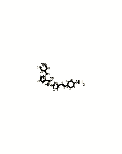 NC1CCC(/C=C/c2csc(NC(=O)c3cccn3Cc3ccncc3)n2)CC1